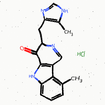 Cc1[nH]cnc1CC1N=Cc2c([nH]c3cccc(C)c23)C1=O.Cl